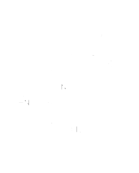 C=C(Cl)C(=N)Nc1ccccc1P(C)(C)=O